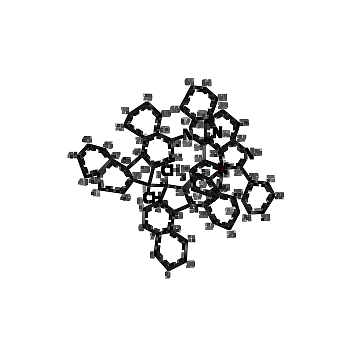 CC1(C2(C)c3ccc4ccccc4c3-c3c2cc(-n2c(-c4ccccc4)nc4ccccc42)c2ccccc32)c2ccc3ccccc3c2-c2c1cc(-n1c(-c3ccccc3)nc3ccccc31)c1ccccc21